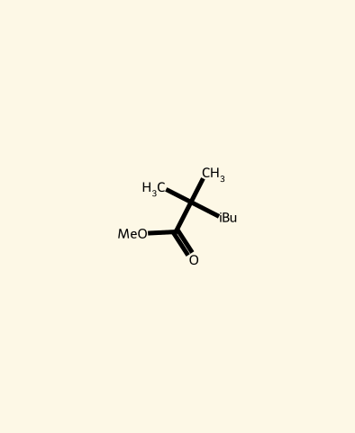 CCC(C)C(C)(C)C(=O)OC